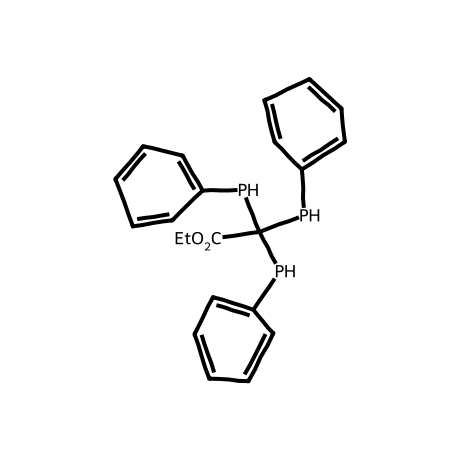 CCOC(=O)C(Pc1ccccc1)(Pc1ccccc1)Pc1ccccc1